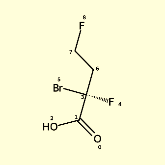 O=C(O)[C@@](F)(Br)CCF